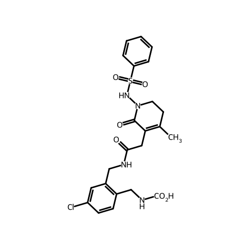 CC1=C(CC(=O)NCc2cc(Cl)ccc2CNC(=O)O)C(=O)N(NS(=O)(=O)c2ccccc2)CC1